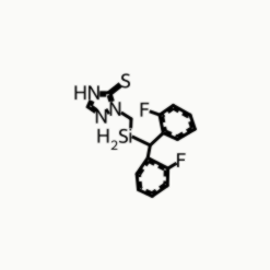 Fc1ccccc1C([SiH2]Cn1nc[nH]c1=S)c1ccccc1F